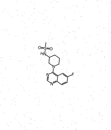 CS(=O)(=O)NC1CCCN(c2ncnc3ccc(F)cc23)C1